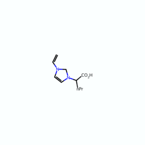 C=CN1C=CN(C(CCC)C(=O)O)C1